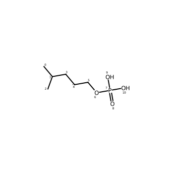 CC(C)C[CH]COP(=O)(O)O